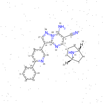 N#Cc1c([C@H]2C[C@H]3CC[C@@H](C2)N3)nc2c(-c3ccc(-c4ccccc4)nc3)cnn2c1N